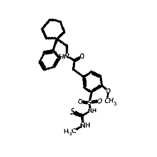 CNC(=S)NS(=O)(=O)c1cc(CC(=O)NCC2(c3ccccc3)CCCCC2)ccc1OC